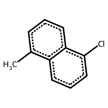 Cc1cccc2c(Cl)cccc12